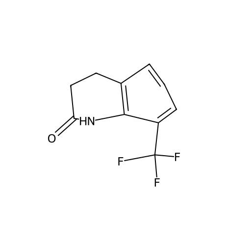 O=C1CCc2cccc(C(F)(F)F)c2N1